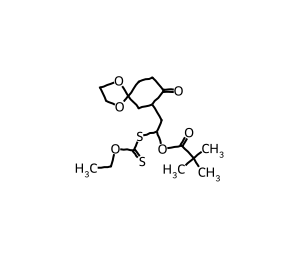 CCOC(=S)SC(CC1CC2(CCC1=O)OCCO2)OC(=O)C(C)(C)C